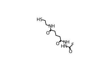 O=C(F)NNC(=O)CCCC(=O)NCCS